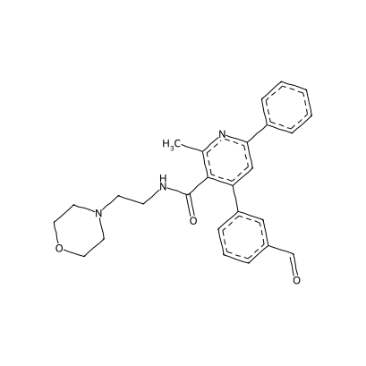 Cc1nc(-c2ccccc2)cc(-c2cccc(C=O)c2)c1C(=O)NCCN1CCOCC1